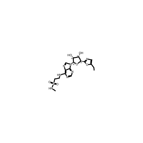 CCc1cnc([C@H]2O[C@@H](n3cnc4c(NCCS(=O)(=O)NC)ncnc43)[C@H](O)[C@@H]2O)o1